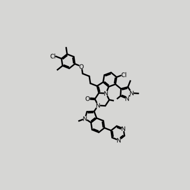 Cc1cc(OCCCc2c3n(c4c(-c5c(C)nn(C)c5C)c(Cl)ccc24)C(C)CN(c2cn(C)c4ccc(-c5cncnc5)cc24)C3=O)cc(C)c1Cl